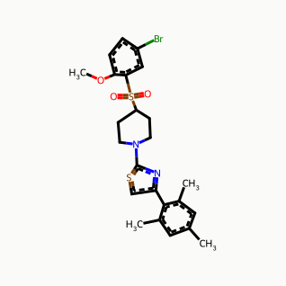 COc1ccc(Br)cc1S(=O)(=O)C1CCN(c2nc(-c3c(C)cc(C)cc3C)cs2)CC1